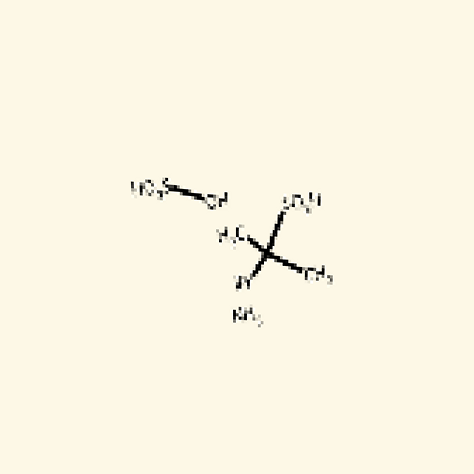 CC(C)C(C)(C)S(=O)(=O)O.N.O=S(=O)(O)O